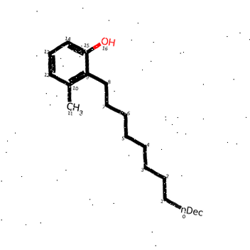 CCCCCCCCCCCCCCCCCCc1c(C)cccc1O